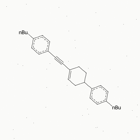 CCCCc1ccc(C#CC2=CCC(c3ccc(CCCC)cc3)CC2)cc1